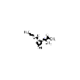 C=CCOC(=O)N1C[C@@H](O)C[C@H]1/C=C(\C)C(C)=O